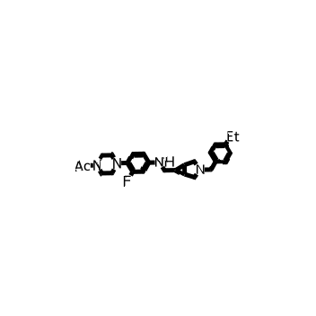 CCc1ccc(CN2CC3C(CNc4ccc(N5CCN(C(C)=O)CC5)c(F)c4)C3C2)cc1